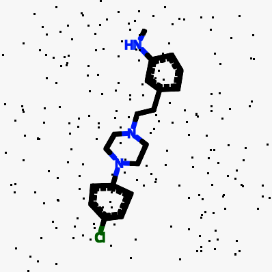 CNc1cccc(CCN2CCN(c3ccc(Cl)cc3)CC2)c1